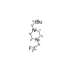 CC(C)(C)CN1CCN(CC(F)(F)F)CC1